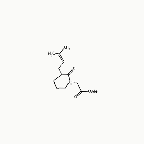 COC(=O)C[C@@H]1CCCC(CC=C(C)C)C1=O